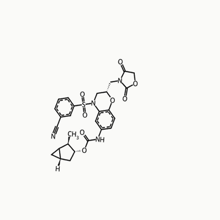 C[C@@H]1C2C[C@H]2C[C@H]1OC(=O)Nc1ccc2c(c1)N(S(=O)(=O)c1cccc(C#N)c1)C[C@H](CN1C(=O)COC1=O)O2